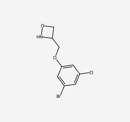 Clc1cc(Br)cc(OCC2CON2)c1